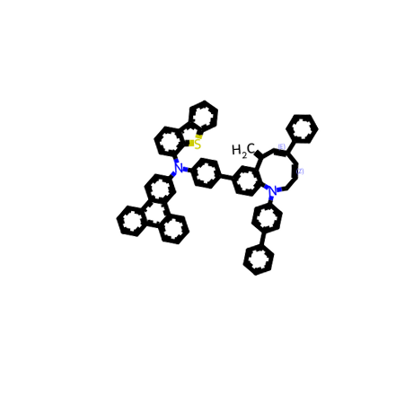 C=C1/C=C(c2ccccc2)\C=C/CN(c2ccc(-c3ccccc3)cc2)c2ccc(-c3ccc(N(c4ccc5c6ccccc6c6ccccc6c5c4)c4cccc5c4sc4ccccc45)cc3)cc21